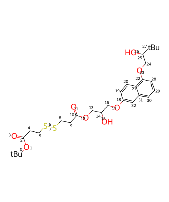 CC(C)(C)OC(=O)CCSSCCC(=O)OCC(O)COc1ccc2c(OCC(O)C(C)(C)C)cccc2c1